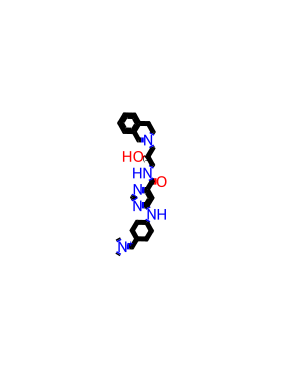 C[N+](C)=CC1CCC(Nc2cc(C(=O)NC[C@H](O)CN3CCc4ccccc4C3)ncn2)CC1